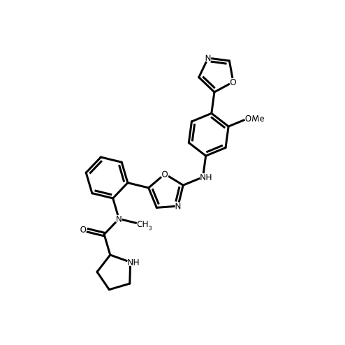 COc1cc(Nc2ncc(-c3ccccc3N(C)C(=O)C3CCCN3)o2)ccc1-c1cnco1